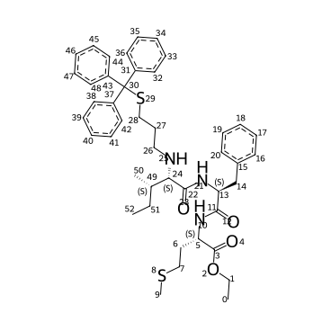 CCOC(=O)[C@H](CCSC)NC(=O)[C@H](Cc1ccccc1)NC(=O)[C@@H](NCCCSC(c1ccccc1)(c1ccccc1)c1ccccc1)[C@@H](C)CC